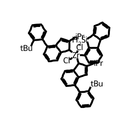 CC(C)C1=Cc2c(-c3ccccc3C(C)(C)C)cccc2[CH]1[Zr]([Cl])([Cl])([c]1cccc2c1[SiH2]c1ccccc1-2)[CH]1C(C(C)C)=Cc2c(-c3ccccc3C(C)(C)C)cccc21